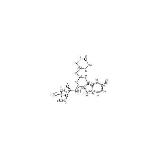 CC(C)(C)OC(=O)NC1CC(CN2CCOCC2)Cc2c1[nH]c1ccc(Br)cc21